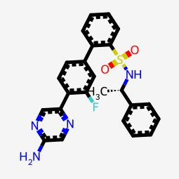 C[C@H](NS(=O)(=O)c1ccccc1-c1ccc(-c2cnc(N)cn2)c(F)c1)c1ccccc1